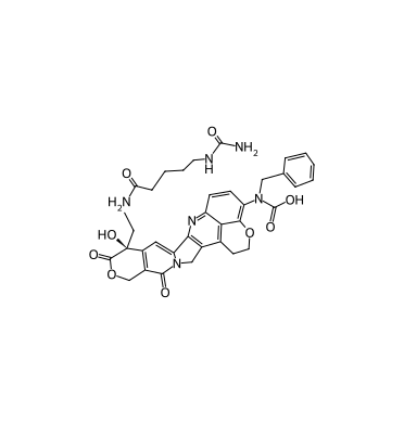 CC[C@@]1(O)C(=O)OCc2c1cc1n(c2=O)Cc2c-1nc1ccc(N(Cc3ccccc3)C(=O)O)c3c1c2CCO3.NC(=O)CCCCNC(N)=O